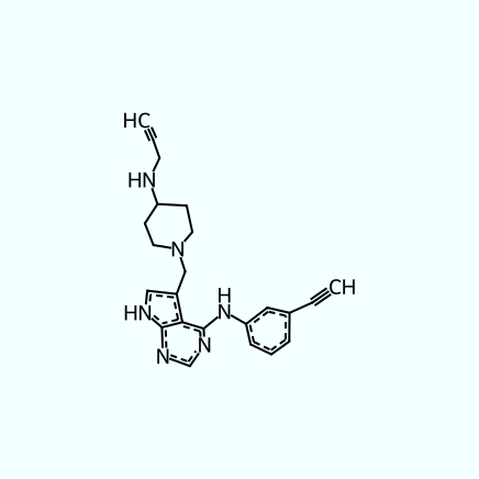 C#CCNC1CCN(Cc2c[nH]c3ncnc(Nc4cccc(C#C)c4)c23)CC1